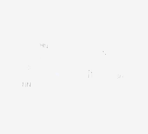 O=C1Nc2ccc3nc(S)[nH]c3c2/C1=C/c1ccc[nH]1